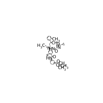 C=C(CCN(CCC)c1cc(F)c(C(=O)N[C@H]2CCC[C@H](C(=O)OC(C)(C)C)C2)cc1NC(=O)c1coc(C2CC2)n1)c1ccccc1C